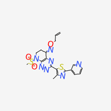 C=CCO/N=C1\CCN(S(C)(=O)=O)c2nnc(-c3sc(-c4cccnc4)nc3C)nc21